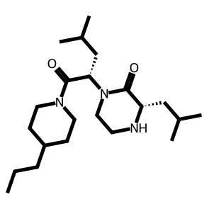 CCCC1CCN(C(=O)[C@H](CC(C)C)N2CCN[C@@H](CC(C)C)C2=O)CC1